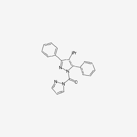 CC(C)c1c(-c2ccccc2)nn(C(=O)n2cccn2)c1-c1ccccc1